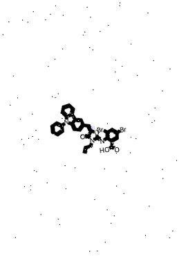 C=CCN1C(=O)/C(=C\c2ccc3c(c2)c2ccccc2n3-c2ccccc2)OC1=Nc1c(Br)cc(Br)cc1C(=O)O